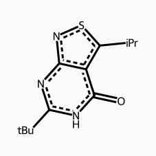 CC(C)c1snc2nc(C(C)(C)C)[nH]c(=O)c12